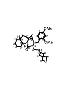 COc1ccc(CN(C2CC2)[C@H](CNC2CC3(COC3)C2)C(=O)N2CCC[C@H]3CCCC[C@@H]32)c(OC)c1